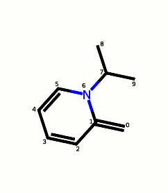 C=C1C=CC=CN1C(C)C